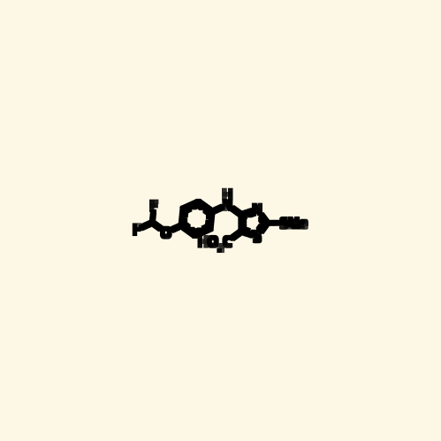 CSc1nc(Nc2ccc(OC(F)F)cc2)c(C(=O)O)s1